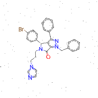 O=C1c2c(c(-c3ccccc3)nn2Cc2ccccc2)C(c2ccc(Br)cc2)N1CCCn1ccnc1